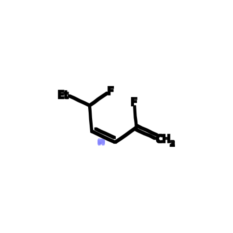 C=C(F)/C=C\C(F)CC